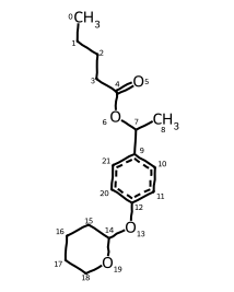 CCCCC(=O)OC(C)c1ccc(OC2CCCCO2)cc1